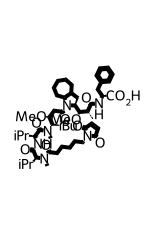 CC[C@H](C)[C@@H]([C@@H](CC(=O)N1C2CCCCCC2C[C@H]1[C@H](OC)[C@@H](C)C(=O)N[C@@H](Cc1ccccc1)C(=O)O)OC)N(C)C(=O)[C@@H](NC(=O)[C@H](C(C)C)N(C)C(=O)CCCCCN1C(=O)C=CC1=O)C(C)C